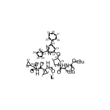 C=C[C@@H]1C[C@]1(NC(=O)[C@@H]1C[C@@H](Oc2cc(-c3ccccc3)nc(-c3cccs3)n2)CN1C(=O)[C@@H](NC(=O)OC(C)(C)C)C(C)(C)C)C(=O)NS(=O)(=O)C1CC1